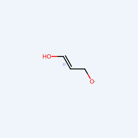 [O]C/C=C/O